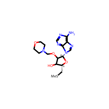 CSC[C@H]1O[C@@H](n2cnc3c(N)ncnc32)C(OCN2CCOCC2)C1O